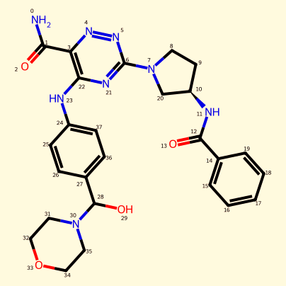 NC(=O)c1nnc(N2CC[C@@H](NC(=O)c3ccccc3)C2)nc1Nc1ccc(C(O)N2CCOCC2)cc1